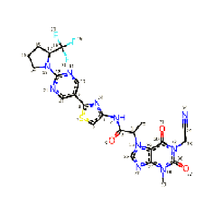 CC(C(=O)Nc1csc(-c2cnc(N3CCCC3C(F)(F)F)nc2)n1)n1cnc2c1c(=O)n(CC#N)c(=O)n2C